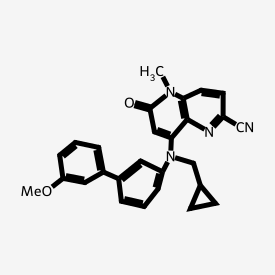 COc1cccc(-c2cccc(N(CC3CC3)c3cc(=O)n(C)c4ccc(C#N)nc34)c2)c1